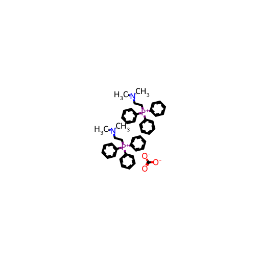 CN(C)CC[P+](c1ccccc1)(c1ccccc1)c1ccccc1.CN(C)CC[P+](c1ccccc1)(c1ccccc1)c1ccccc1.O=C([O-])[O-]